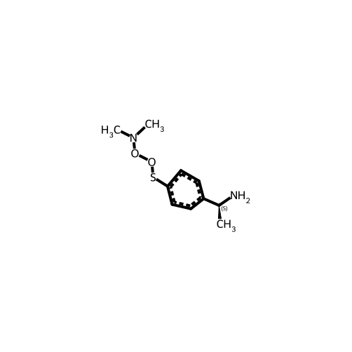 C[C@H](N)c1ccc(SOON(C)C)cc1